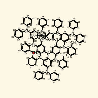 CC1=C(N2c3cc4c(cc3B3c5cc6c(cc5N(c5ccccc5C)c5cc(N(c7ccccc7)c7ccccc7)cc2c53)N(c2ccccc2C)c2cc(N(c3ccccc3)c3ccccc3)cc3c2B6c2sc(C(C)(C)C)cc2N3c2ccccc2)B2c3sc(C(C)(C)C)cc3N(c3ccccc3)c3cc(N(c5ccccc5)c5ccccc5)cc(c32)N4c2ccccc2C)CCC=C1